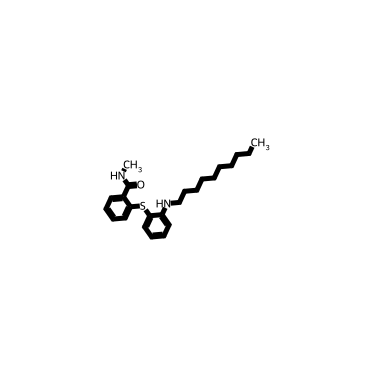 CCCCCCCCCCNc1ccccc1Sc1ccccc1C(=O)NC